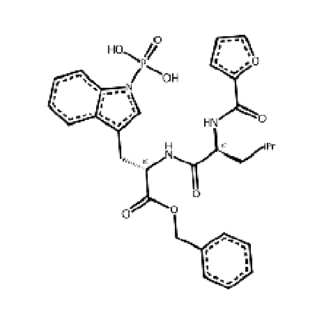 CC(C)C[C@H](NC(=O)c1ccco1)C(=O)N[C@@H](Cc1cn(P(=O)(O)O)c2ccccc12)C(=O)OCc1ccccc1